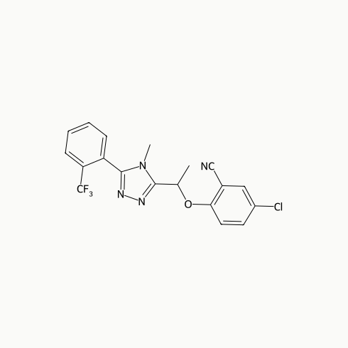 CC(Oc1ccc(Cl)cc1C#N)c1nnc(-c2ccccc2C(F)(F)F)n1C